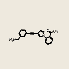 NCc1cccc(C#Cc2ccn(-c3ccccc3C(=O)O)c2)c1